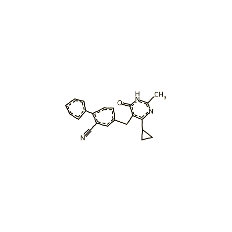 Cc1nc(C2CC2)c(Cc2ccc(-c3ccccc3)c(C#N)c2)c(=O)[nH]1